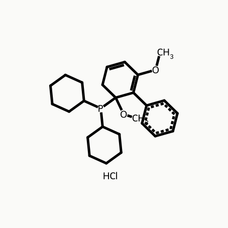 COC1=C(c2ccccc2)C(OC)(P(C2CCCCC2)C2CCCCC2)CC=C1.Cl